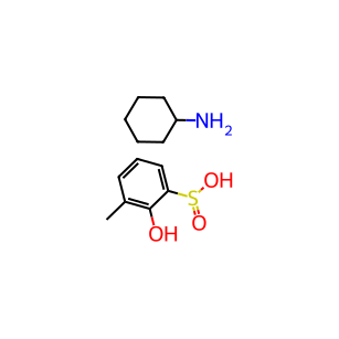 Cc1cccc(S(=O)O)c1O.NC1CCCCC1